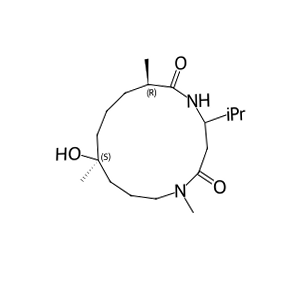 CC(C)C1CC(=O)N(C)CCC[C@@](C)(O)CCC[C@@H](C)C(=O)N1